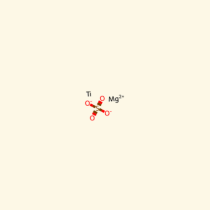 O=S(=O)([O-])[O-].[Mg+2].[Ti]